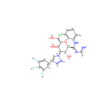 CC(=N)/N=C(\Nc1cc(Cl)ccc1C)[C@@H]1O[C@H](CO)[C@H](O)[C@H](n2cc(-c3cc(F)c(F)c(F)c3)nn2)[C@H]1O